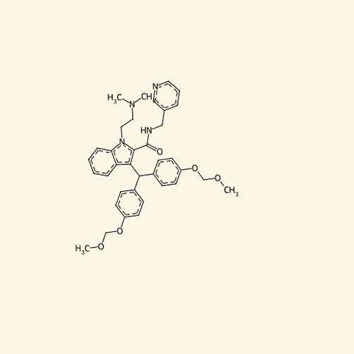 COCOc1ccc(C(c2ccc(OCOC)cc2)c2c(C(=O)NCc3cccnc3)n(CCN(C)C)c3ccccc23)cc1